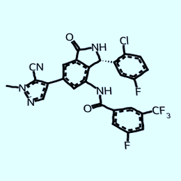 Cn1ncc(-c2cc(NC(=O)c3cc(F)cc(C(F)(F)F)c3)c3c(c2)C(=O)N[C@@H]3c2cc(F)ccc2Cl)c1C#N